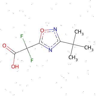 CC(C)(C)c1noc(C(F)(F)C(=O)O)n1